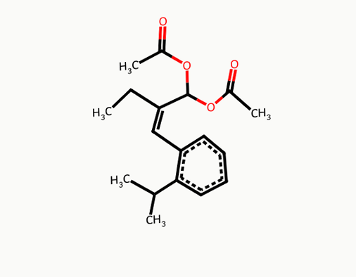 CCC(=Cc1ccccc1C(C)C)C(OC(C)=O)OC(C)=O